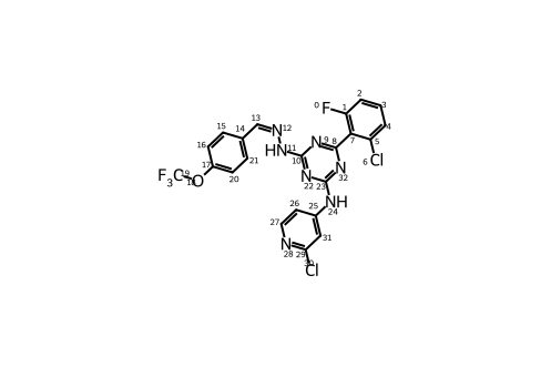 Fc1cccc(Cl)c1-c1nc(N/N=C\c2ccc(OC(F)(F)F)cc2)nc(Nc2ccnc(Cl)c2)n1